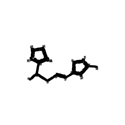 Cc1ncc(/C=C/CC(C)c2nnco2)s1